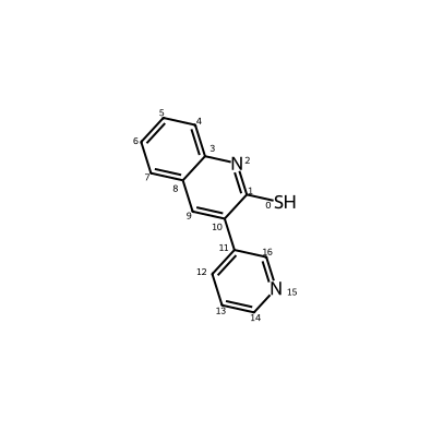 Sc1nc2ccccc2cc1-c1cccnc1